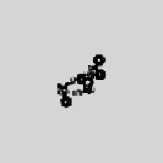 CCCc1coc(CC(Nc2ccccc2C(=O)c2ccccc2)c2ccc(OCCc3nc(-c4ccccc4)oc3C)cc2)n1